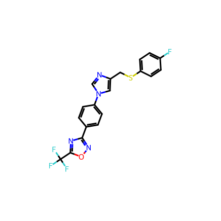 Fc1ccc(SCc2cn(-c3ccc(-c4noc(C(F)(F)F)n4)cc3)cn2)cc1